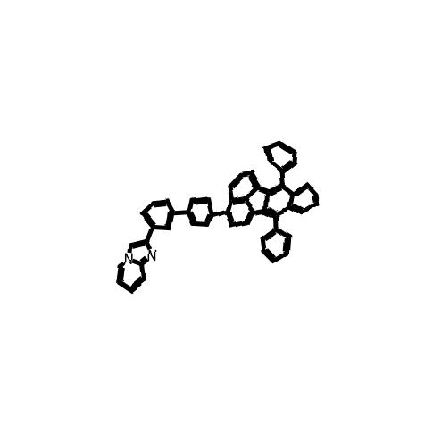 c1ccc(-c2c3c(c(-c4ccccc4)c4ccccc24)-c2ccc(-c4ccc(-c5cccc(-c6cn7ccccc7n6)c5)cc4)c4cccc-3c24)cc1